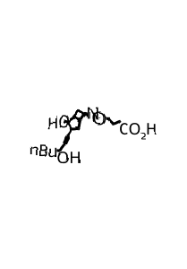 CCCCC(O)C#CC1CC2C(=NOCCCC(=O)O)CC2C1O